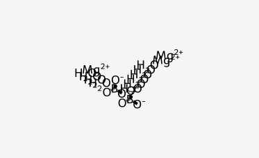 O.O.O.O.O.O.O.O.O.O.[Mg+2].[Mg+2].[Mg+2].[O-]B([O-])[O-].[O-]B([O-])[O-]